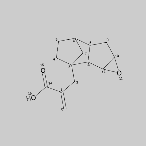 C=C(CC12CCC(C1)C1CC3OC3C12)C(=O)O